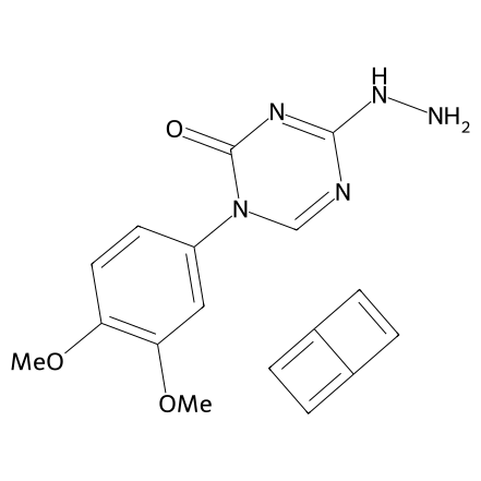 COc1ccc(-n2cnc(NN)nc2=O)cc1OC.c1cc2ccc1-2